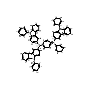 c1ccc(N(c2ccc(N(c3ccc4c(c3)c3ccccc3n4-c3ccccc3)c3ccc4c(c3)c3ccccc3n4-c3ccccc3)cc2)c2ccc3c(c2)c2ccccc2n3-c2ccccc2)cc1